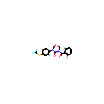 O=C(c1c(F)cccc1F)N1COCN(c2ccc(SC(F)F)cc2F)C1=O